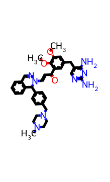 COc1cc(Cc2cnc(N)nc2N)cc(C(=O)/C=C/N2N=Cc3ccccc3C2c2ccc(CN3CCN(C)CC3)cc2)c1OC